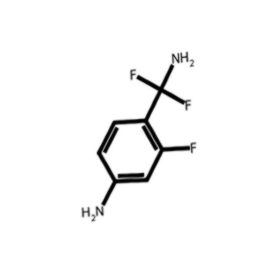 Nc1ccc(C(N)(F)F)c(F)c1